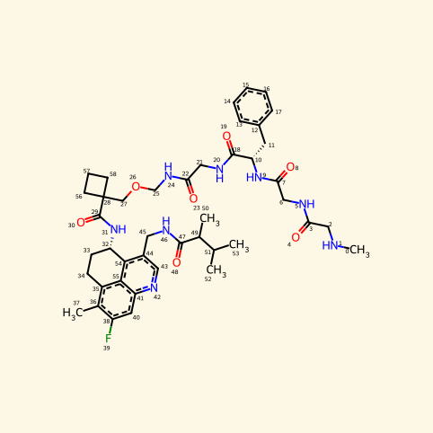 CNCC(=O)NCC(=O)N[C@@H](Cc1ccccc1)C(=O)NCC(=O)NCOCC1(C(=O)N[C@H]2CCc3c(C)c(F)cc4ncc(CNC(=O)C(C)C(C)C)c2c34)CCC1